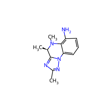 Cc1nc2n(n1)-c1cccc(N)c1N(C)[C@@H]2C